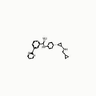 Cl.O=C(Nc1ccc([C@@H]2C[C@H]2NCC2CC2)cc1)c1cccc(-c2ncccn2)c1